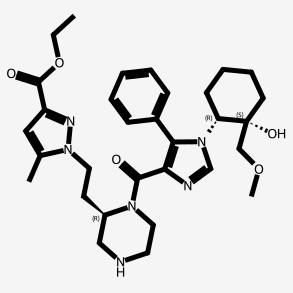 CCOC(=O)c1cc(C)n(CC[C@@H]2CNCCN2C(=O)c2ncn([C@@H]3CCCC[C@@]3(O)COC)c2-c2ccccc2)n1